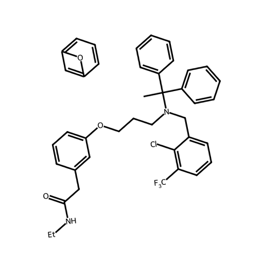 CCNC(=O)Cc1cccc(OCCCN(Cc2cccc(C(F)(F)F)c2Cl)C(C)(c2ccccc2)c2ccccc2)c1.c1cc2cc(c1)O2